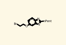 CCCCCc1nc2ccc(OCCBr)cc2s1